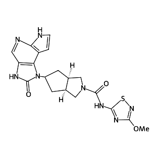 COc1nsc(NC(=O)N2C[C@H]3CC(n4c(=O)[nH]c5cnc6[nH]ccc6c54)C[C@H]3C2)n1